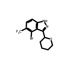 FC(F)(F)c1ccc2[nH]nc(C3CCCCO3)c2c1Br